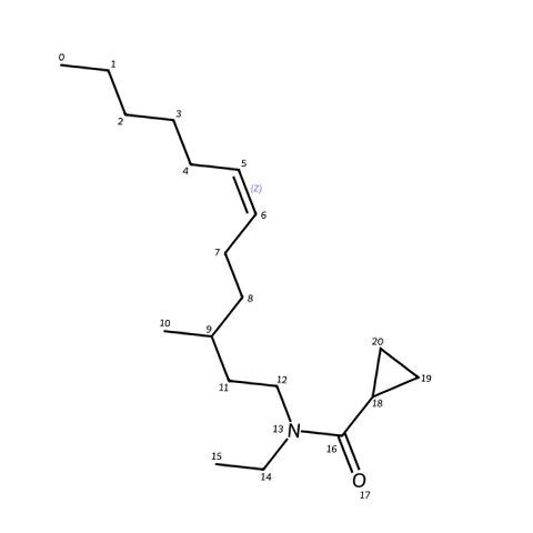 CCCCC/C=C\CCC(C)CCN(CC)C(=O)C1CC1